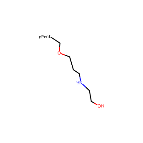 CCCCCCOCCCNCCO